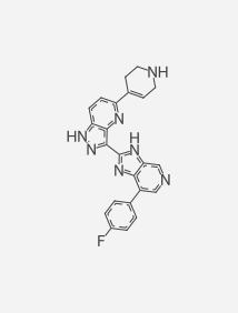 Fc1ccc(-c2cncc3[nH]c(-c4n[nH]c5ccc(C6=CCNCC6)nc45)nc23)cc1